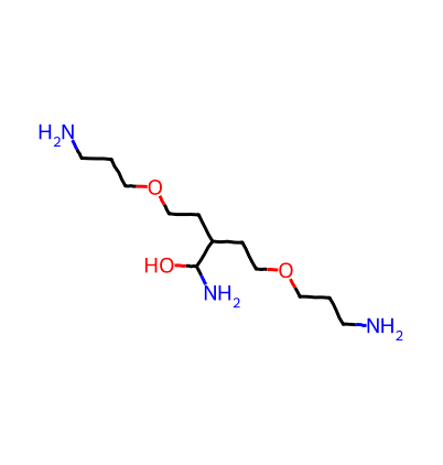 NCCCOCCC(CCOCCCN)C(N)O